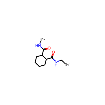 CC(C)CNC(=O)C1CCCCC1C(=O)NC(C)C